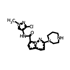 Cn1cc(NC(=O)c2ccc3ccc(N4CCCNCC4)nn23)c(Cl)n1